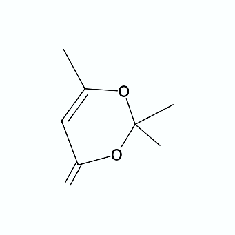 C=C1C=C(C)OC(C)(C)O1